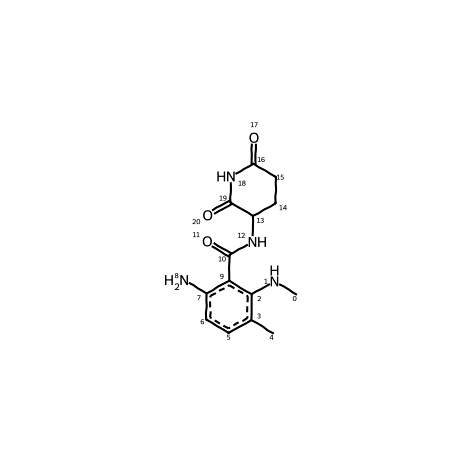 CNc1c(C)ccc(N)c1C(=O)NC1CCC(=O)NC1=O